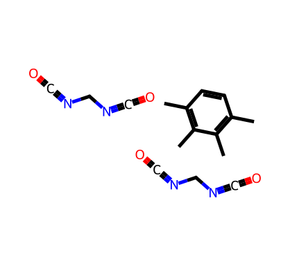 Cc1ccc(C)c(C)c1C.O=C=NCN=C=O.O=C=NCN=C=O